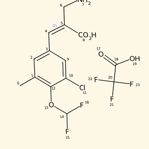 Cc1cc(/C=C(/CN)C(=O)O)cc(Cl)c1OC(F)F.O=C(O)C(F)(F)F